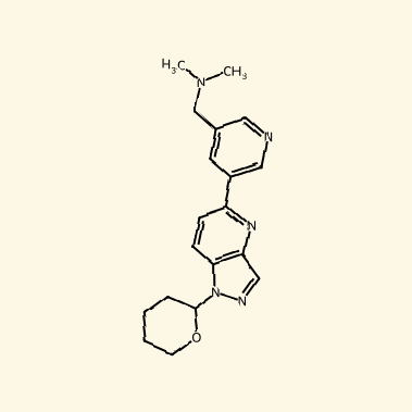 CN(C)Cc1cncc(-c2ccc3c(cnn3C3CCCCO3)n2)c1